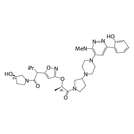 CNc1nnc(-c2ccccc2O)cc1N1CCN(C2CCN(C(=O)[C@@H](C)Oc3cc(C(C(=O)N4CC[C@@H](O)C4)C(C)C)on3)C2)CC1